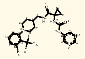 O=C(NC1(C(=O)NCC2CCN(c3cccc(F)c3C(F)(F)F)CC2)CC1)Oc1cncnc1